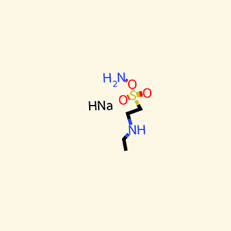 CCNCCS(=O)(=O)ON.[NaH]